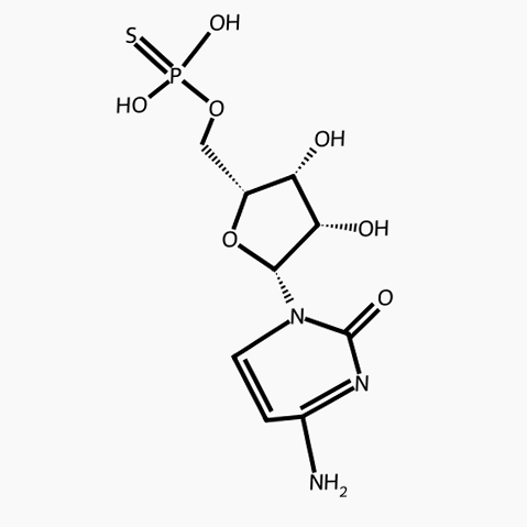 Nc1ccn([C@@H]2O[C@H](COP(O)(O)=S)[C@H](O)[C@@H]2O)c(=O)n1